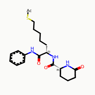 CC(=O)SCCCCC[C@H](NC(=O)[C@H]1CCCC(=O)N1)C(=O)Nc1ccccc1